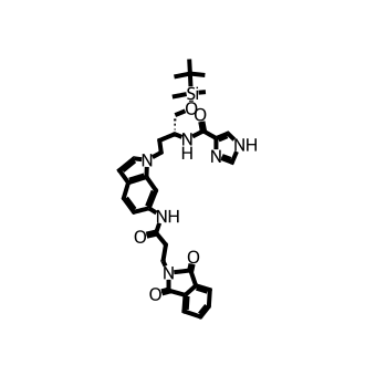 CC(C)(C)[Si](C)(C)OC[C@@H](CCn1ccc2ccc(NC(=O)CCN3C(=O)c4ccccc4C3=O)cc21)NC(=O)c1c[nH]cn1